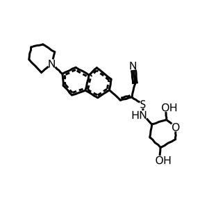 N#C/C(=C\c1ccc2cc(N3CCCCC3)ccc2c1)SNC1CC(O)COC1O